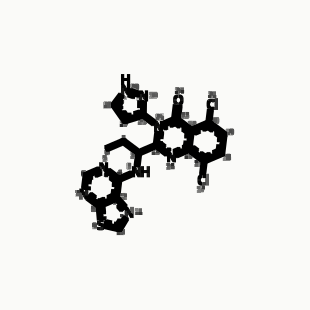 CCC(Nc1ncnc2scnc12)c1nc2c(Cl)ccc(Cl)c2c(=O)n1-c1cc[nH]n1